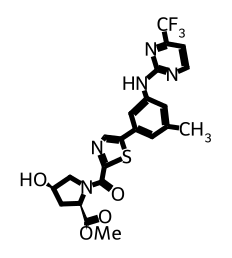 COC(=O)[C@H]1C[C@@H](O)CN1C(=O)c1ncc(-c2cc(C)cc(Nc3nccc(C(F)(F)F)n3)c2)s1